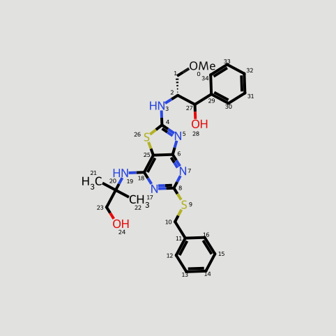 COC[C@@H](Nc1nc2nc(SCc3ccccc3)nc(NC(C)(C)CO)c2s1)C(O)c1ccccc1